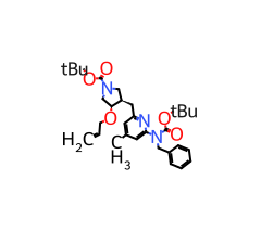 C=CCO[C@H]1CN(C(=O)OC(C)(C)C)C[C@H]1Cc1cc(C)cc(N(Cc2ccccc2)C(=O)OC(C)(C)C)n1